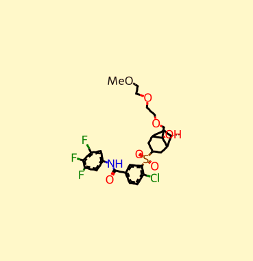 COCCOCCOC[C@@]1(O)C2CC(S(=O)(=O)c3cc(C(=O)Nc4cc(F)c(F)c(F)c4)ccc3Cl)CC1[C@@H](C)C2